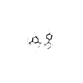 OC[C@H](OC1OCCNC1c1ccc(F)cc1)c1cc(F)cc(C(F)(F)F)c1